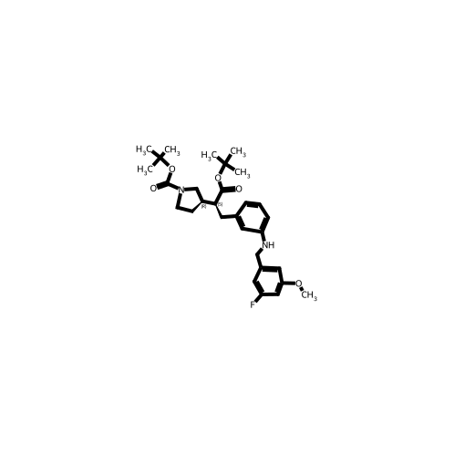 COc1cc(F)cc(CNc2cccc(C[C@H](C(=O)OC(C)(C)C)[C@H]3CCN(C(=O)OC(C)(C)C)C3)c2)c1